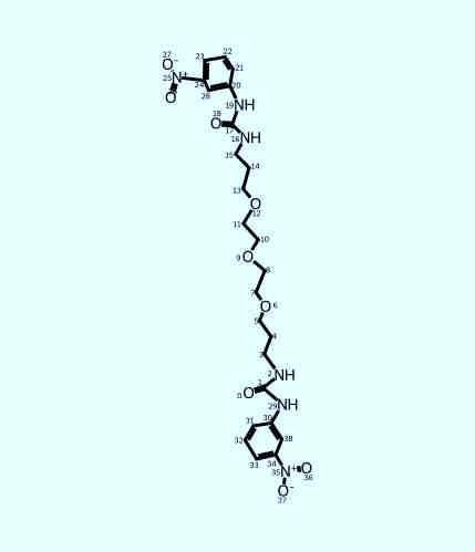 O=C(NCCCOCCOCCOCCCNC(=O)Nc1cccc([N+](=O)[O-])c1)Nc1cccc([N+](=O)[O-])c1